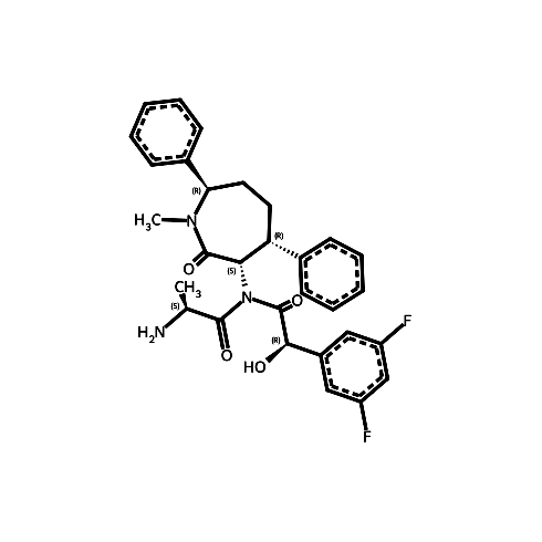 C[C@H](N)C(=O)N(C(=O)[C@H](O)c1cc(F)cc(F)c1)[C@@H]1C(=O)N(C)[C@@H](c2ccccc2)CC[C@@H]1c1ccccc1